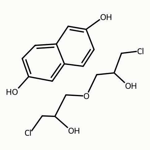 OC(CCl)COCC(O)CCl.Oc1ccc2cc(O)ccc2c1